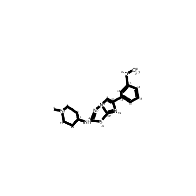 CN1CCC(Nc2nn3cc(-c4cccc(OC(F)(F)F)c4)nc3s2)CC1